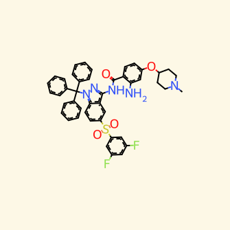 CN1CCC(Oc2ccc(C(=O)Nc3nn(C(c4ccccc4)(c4ccccc4)c4ccccc4)c4ccc(S(=O)(=O)c5cc(F)cc(F)c5)cc34)c(N)c2)CC1